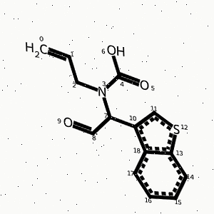 C=CCN(C(=O)O)C([C]=O)c1csc2ccccc12